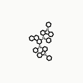 c1ccc(N(c2cc(N(c3ccccc3)c3cccc4c3c3ccccc3n4-c3ccccc3)c3ccc4ccccc4c3c2)c2cccc3c2c2ccccc2n3-c2ccccc2)cc1